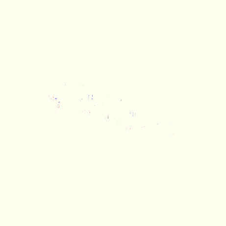 O=C(NC1CCC(C(=O)N2CCc3ccc([N+](=O)[O-])cc32)CC1)OCc1ccccc1